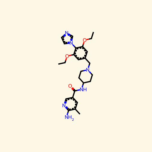 CCOc1cc(CN2CCC(NC(=O)c3cnc(N)c(C)c3)CC2)cc(OCC)c1-n1ccnc1